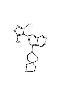 Cc1n[nH]c(C)c1-c1nc(N2CCC3(CCNC3)CC2)c2ccncc2n1